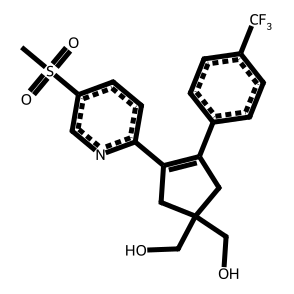 CS(=O)(=O)c1ccc(C2=C(c3ccc(C(F)(F)F)cc3)CC(CO)(CO)C2)nc1